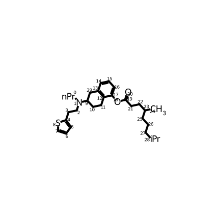 CCCN(CCc1cccs1)C1CCc2c(cccc2OC(=O)CCC(C)CCCC(C)C)C1